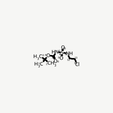 CC(C)(C)OC(=O)NS(=O)(=O)NCCCl